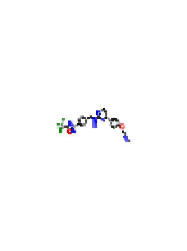 CN(C)CCOc1ccc(-c2ccnc(NCc3ccc(-c4noc(C(F)(F)F)n4)cc3)n2)cc1